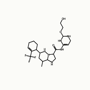 CC1CC(C2CCCC=C2C(F)(F)F)NN2C(C(=O)NC3=CCNC(OCCO)N3)CNC12